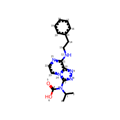 CC(C)N(C(=O)O)c1nnc2c(NCCc3ccccc3)nccn12